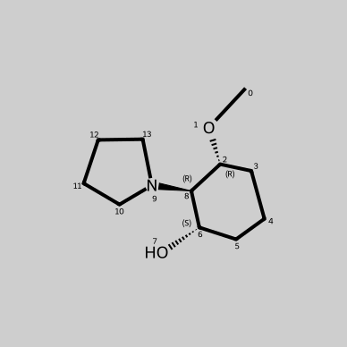 CO[C@@H]1CCC[C@H](O)[C@H]1N1CCCC1